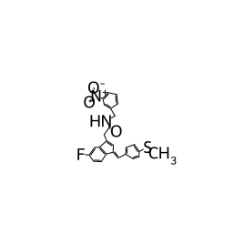 CSc1ccc(/C=C2\C=C(CC(=O)NCc3cccc([N+](=O)[O-])c3)c3cc(F)ccc32)cc1